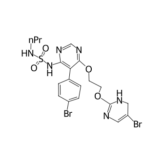 CCCNS(=O)(=O)Nc1ncnc(OCCOC2=NC=C(Br)CN2)c1-c1ccc(Br)cc1